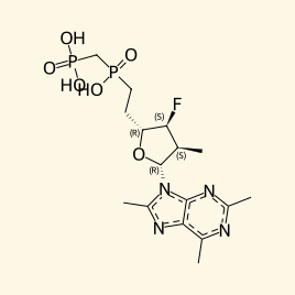 Cc1nc(C)c2nc(C)n([C@@H]3O[C@H](CCP(=O)(O)CP(=O)(O)O)[C@@H](F)[C@H]3C)c2n1